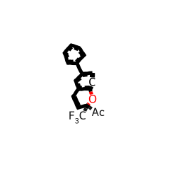 CC(=O)C1(C(F)(F)F)C=Cc2cc(-c3ccccc3)ccc2O1